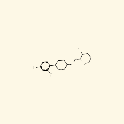 NC1CCCNC1COC1CCC(c2ccc(F)cc2F)CC1